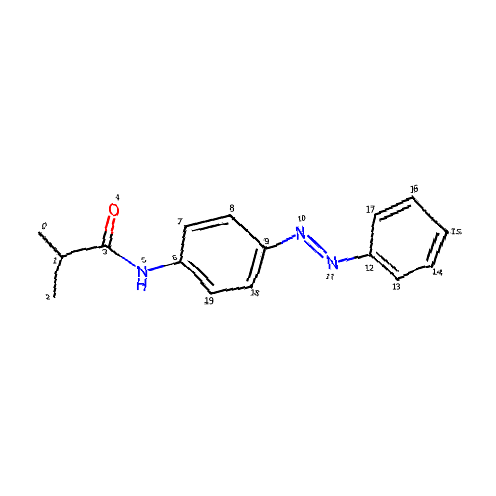 CC(C)C(=O)Nc1ccc(/N=N/c2ccccc2)cc1